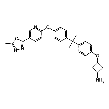 Cc1nnc(-c2ccc(Oc3ccc(C(C)(C)c4ccc(OC5CC(N)C5)cc4)cc3)nc2)o1